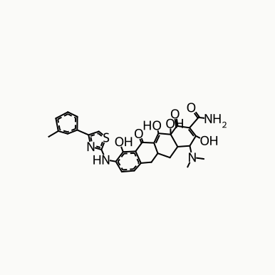 Cc1cccc(-c2csc(Nc3ccc4c(c3O)C(=O)C3=C(O)C5(O)C(=O)C(C(N)=O)=C(O)C(N(C)C)C5CC3C4)n2)c1